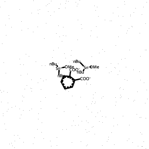 CCC[CH2][Sn+]([CH2]CCC)[O]C.CCC[CH2][Sn+]([CH2]CCC)[O]C.O=C([O-])c1ccccc1C(=O)[O-]